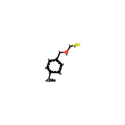 COc1ccc(COCS)cc1